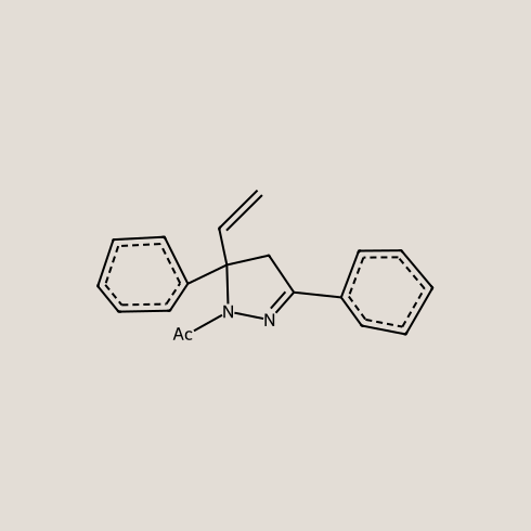 C=CC1(c2ccccc2)CC(c2ccccc2)=NN1C(C)=O